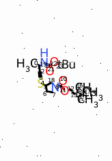 C[C@H](C#CSC1CCN(C(=O)OCC[Si](C)(C)C)C1)NC(=O)OC(C)(C)C